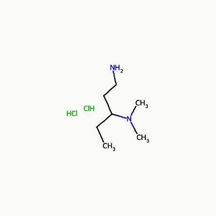 CCC(CCN)N(C)C.Cl.Cl